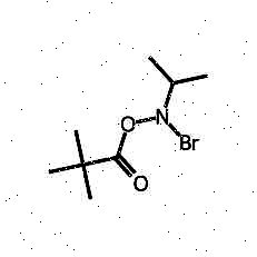 CC(C)N(Br)OC(=O)C(C)(C)C